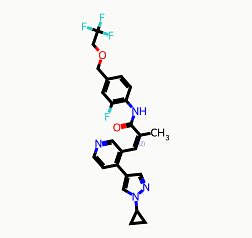 C/C(=C/c1cnccc1-c1cnn(C2CC2)c1)C(=O)Nc1ccc(COCC(F)(F)F)cc1F